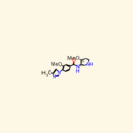 COc1cc(C(=O)N[C@@H]2CNCC[C@@H]2OC)ccc1-n1cnc(C)c1